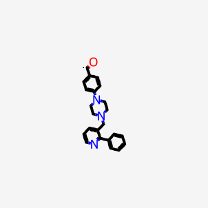 O=[C]c1ccc(N2CCN(Cc3cccnc3-c3ccccc3)CC2)cc1